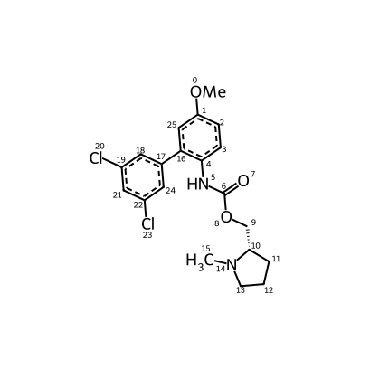 COc1ccc(NC(=O)OC[C@@H]2CCCN2C)c(-c2cc(Cl)cc(Cl)c2)c1